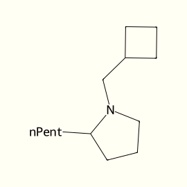 CCCCCC1CCCN1CC1CCC1